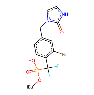 CCC(C)OP(=O)(O)C(F)(F)c1ccc(Cn2cc[nH]c2=O)cc1Br